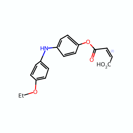 CCOc1ccc(Nc2ccc(OC(=O)/C=C\C(=O)O)cc2)cc1